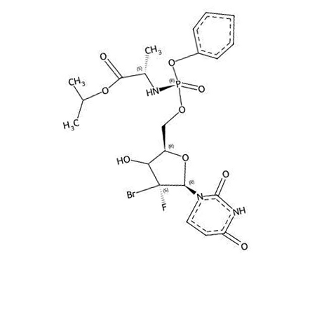 CC(C)OC(=O)[C@H](C)N[P@@](=O)(OC[C@H]1O[C@@H](n2ccc(=O)[nH]c2=O)[C@@](F)(Br)C1O)Oc1ccccc1